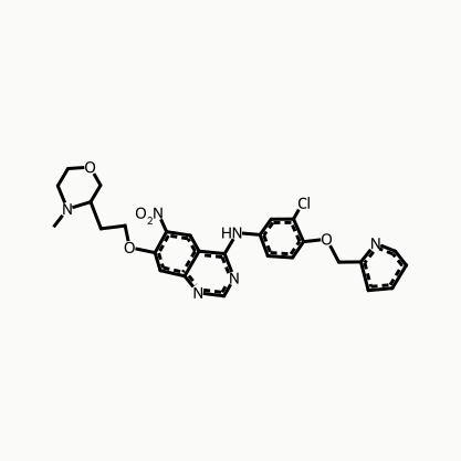 CN1CCOCC1CCOc1cc2ncnc(Nc3ccc(OCc4ccccn4)c(Cl)c3)c2cc1[N+](=O)[O-]